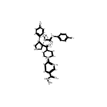 CN(C(=O)Oc1ccc(F)cc1)[C@]1(C(=O)C2CCN(c3ccc(C(=O)NC(C)(C)C)cn3)CC2)CNC[C@H]1c1ccc(Cl)cc1